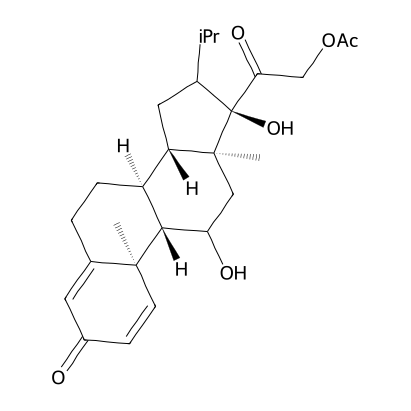 CC(=O)OCC(=O)[C@@]1(O)C(C(C)C)C[C@H]2[C@@H]3CCC4=CC(=O)C=C[C@]4(C)[C@H]3C(O)C[C@@]21C